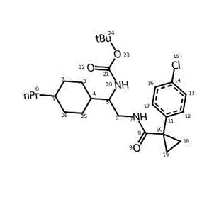 CCCC1CCC(C(CNC(=O)C2(c3ccc(Cl)cc3)CC2)NC(=O)OC(C)(C)C)CC1